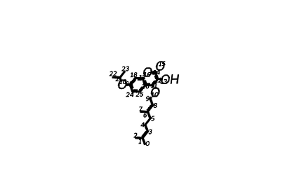 CC(C)=CCC/C(C)=C/COc1c(O)c(=O)oc2cc(OC(C)C)ccc12